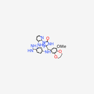 COc1cc(C(Nc2ccc(C(=N)N)cc2)c2nn(-c3ncccc3N)c(=O)[nH]2)cc2c1OCCCO2